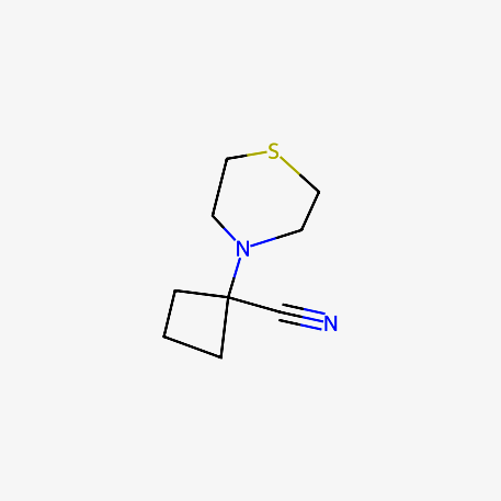 N#CC1(N2CCSCC2)CCC1